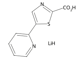 O=C(O)c1ncc(-c2ccccn2)s1.[LiH]